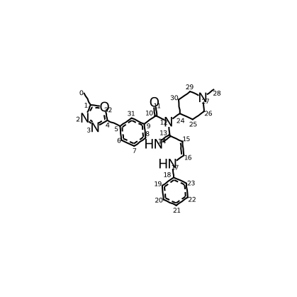 Cc1nnc(-c2cccc(C(=O)N(C(=N)/C=C\Nc3ccccc3)C3CCN(C)CC3)c2)o1